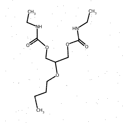 CCCCOC(COC(=O)NCC)COC(=O)NCC